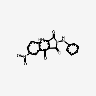 O=C1c2[nH]c3ccc([N+](=O)[O-])cc3c(=O)c2C(=O)N1Nc1ccccc1